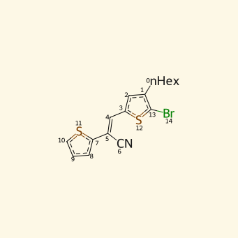 CCCCCCc1cc(/C=C(\C#N)c2cccs2)sc1Br